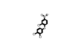 O=[N+]([O-])c1ccc(Sc2ccc(Cl)c(Cl)c2)c(Cl)c1